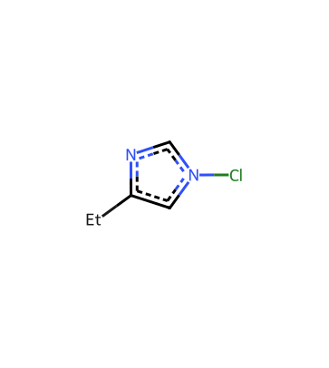 CCc1cn(Cl)cn1